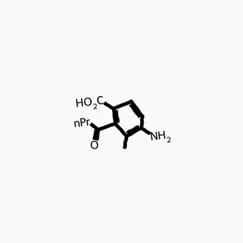 CCCC(=O)c1c(C(=O)O)ccc(N)c1C